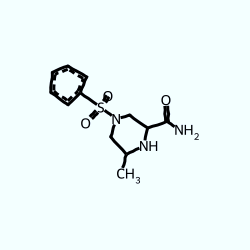 CC1CN(S(=O)(=O)c2ccccc2)CC(C(N)=O)N1